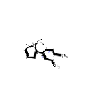 C=C/C=C\C(=C/C=C)C1=CC=CON1C